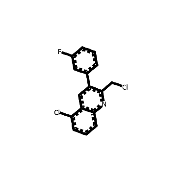 Fc1cccc(-c2cc3c(Cl)cccc3nc2CCl)c1